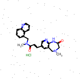 CN1CC(=O)Nc2ncc(C=CC(=O)N(C)Cc3cccc4ncccc34)cc2C1.Cl